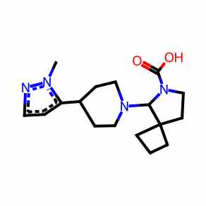 Cn1nccc1C1CCN(C2N(C(=O)O)CCC23CCC3)CC1